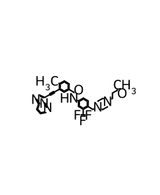 CC(=O)CCN1CCN(Cc2ccc(NC(=O)c3ccc(C)c(C#Cc4cnc5cccnn45)c3)cc2C(F)(F)F)CC1